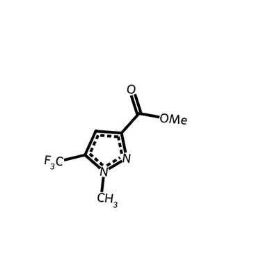 COC(=O)c1cc(C(F)(F)F)n(C)n1